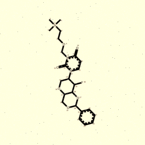 C[Si](C)(C)CCOCn1c(=O)ccn(C2COC3COC(c4ccccc4)OC3C2F)c1=O